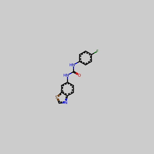 O=C(Nc1ccc(F)cc1)Nc1ccc2ncsc2c1